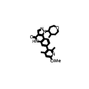 COc1cc(C)c(-c2ccc3c(c2)[nH]c(=O)c2cnn(C4CCOCCC4C)c23)c(C)n1